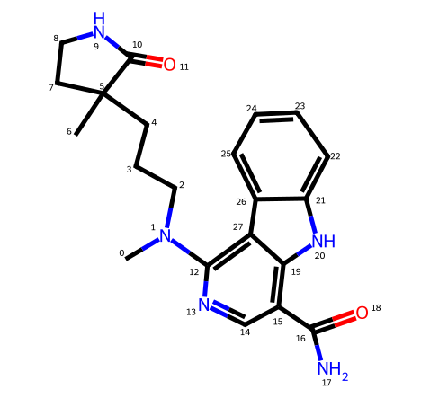 CN(CCCC1(C)CCNC1=O)c1ncc(C(N)=O)c2[nH]c3ccccc3c12